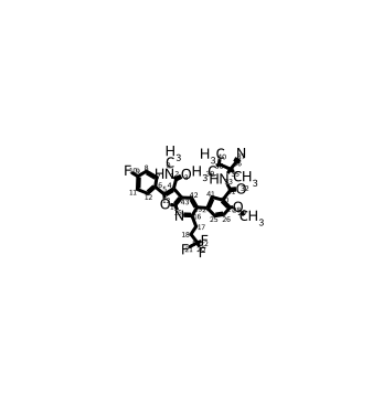 CNC(=O)c1c(-c2ccc(F)cc2)oc2nc(CCC(F)(F)F)c(-c3ccc(OC)c(C(=O)NC(C)(C#N)C(C)C)c3)cc12